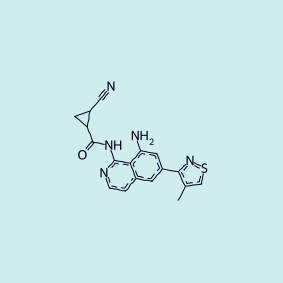 Cc1csnc1-c1cc(N)c2c(NC(=O)C3CC3C#N)nccc2c1